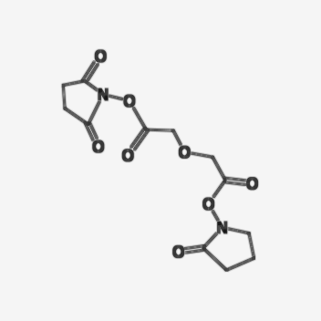 O=C(COCC(=O)ON1C(=O)CCC1=O)ON1CCCC1=O